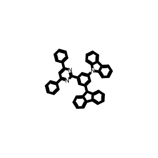 c1ccc(-c2cc(-c3ccccc3)nc(-c3cc(C4c5ccccc5-c5ccccc54)cc(-n4c5ccccc5c5ccccc54)c3)n2)cc1